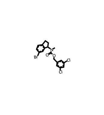 CN(C(=O)OCc1cc(Cl)cc(Cl)c1)C1CCc2ccc(Br)cc21